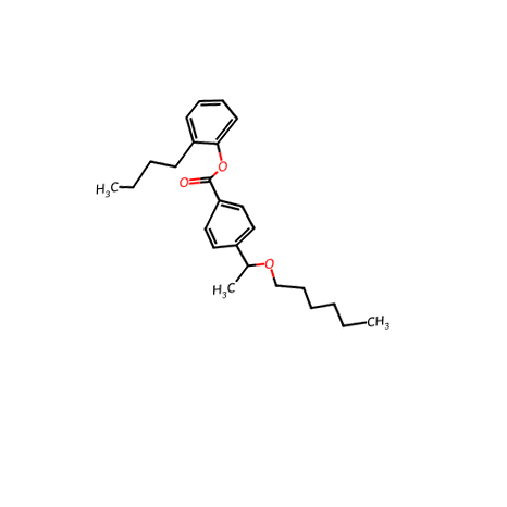 CCCCCCOC(C)c1ccc(C(=O)Oc2ccccc2CCCC)cc1